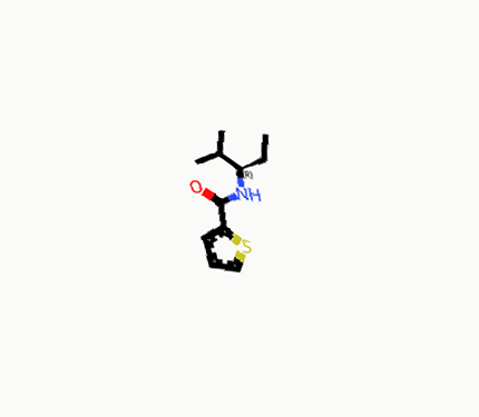 CC[C@@H](NC(=O)c1cccs1)C(C)C